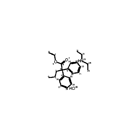 CCCC(C(=O)OCC)(c1ccccc1)c1ccccc1.CCNCC.Cl